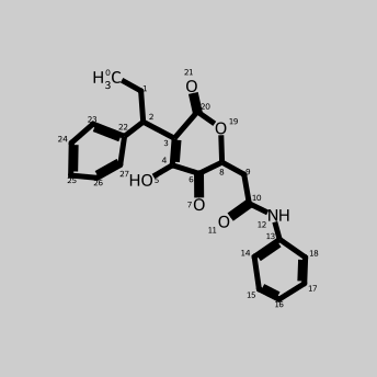 CCC(C1=C(O)C(=O)C(CC(=O)Nc2ccccc2)OC1=O)c1ccccc1